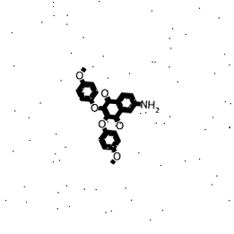 COc1ccc(OC2=C(Oc3ccc(OC)cc3)C(=O)c3cc(N)ccc3C2=O)cc1